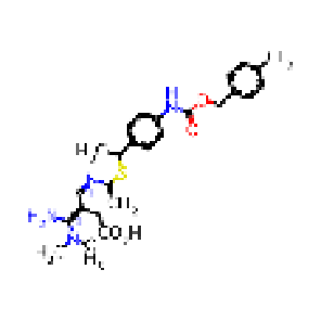 C=C(/N=C\C(CC(=O)O)=C(/N)N(C)C)SC(C)c1ccc(NC(=O)OCc2ccc(C(F)(F)F)cc2)cc1